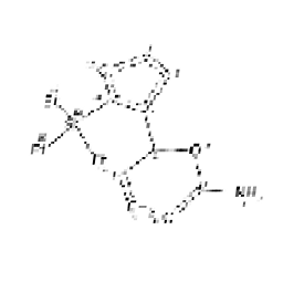 C=CC(OC(N)=O)c1ccoc1[Si](CC)(CC)CC